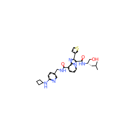 CC(C)C[C@@H](CO)NC(=O)c1c(-c2ccsc2)nc2c(C(=O)NCc3ccc(NC4CCC4)nc3)cccn12